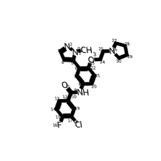 Cn1nccc1-c1cc(NC(=O)c2ccc(F)c(Cl)c2)ccc1OCCN1CCCC1